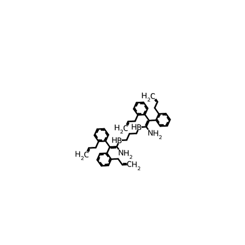 C=CCc1ccccc1C(=C(N)BCCCBC(N)=C(c1ccccc1CC=C)c1ccccc1CC=C)c1ccccc1CC=C